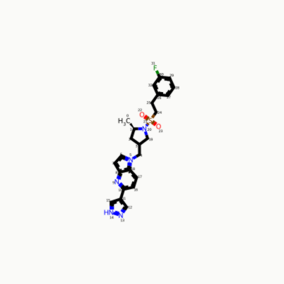 C[C@@H]1CC(Cn2ccc3nc(-c4cn[nH]c4)ccc32)CN1S(=O)(=O)CCc1cccc(F)c1